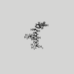 CC(C)(C)OC(=O)/N=C(/NCCC(=O)NC(=N)[C@@H]1CC[C@@H]2CN1C(=O)N2OS(=O)(=O)O)NC(=O)OC(C)(C)C